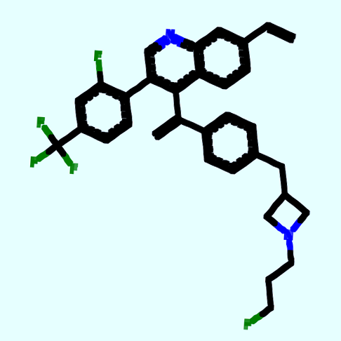 C=Cc1ccc2c(C(=C)c3ccc(CC4CN(CCCF)C4)cc3)c(-c3ccc(C(F)(F)F)cc3F)cnc2c1